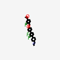 C/C=C/C1CCC(c2ccc(-c3ccc(OCc4ccc(C5CO5)cc4F)cc3)c(F)c2F)CC1